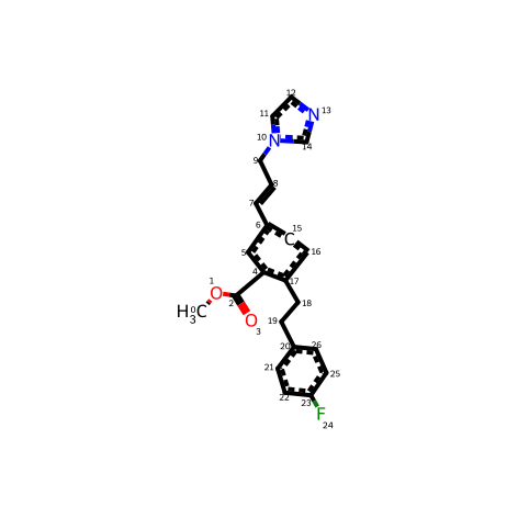 COC(=O)c1cc(/C=C/Cn2ccnc2)ccc1CCc1ccc(F)cc1